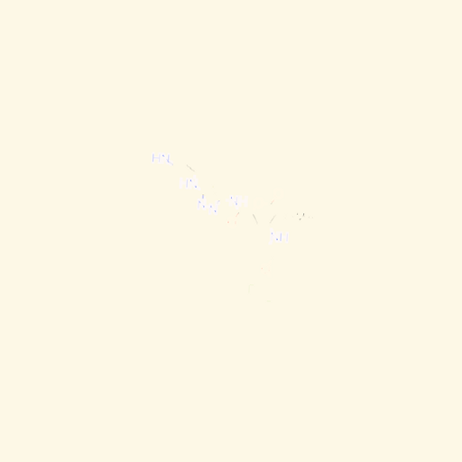 COc1c(NCCOCC(F)F)cc(C(=O)Nc2nnc(N/C(C)=C\C=N)s2)oc1=O